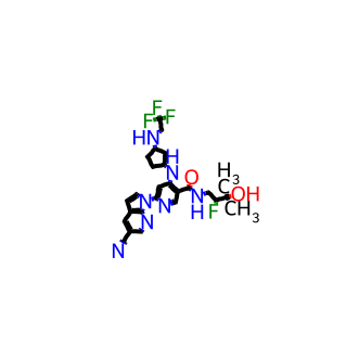 CC(C)(O)C(F)CNC(=O)c1cnc(-n2ccc3cc(C#N)cnc32)cc1NC1CCC(NCC(F)(F)F)C1